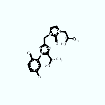 C[C@H](O)c1nc(Cn2ccn(C[C@H](O)C(F)(F)F)c2=O)nn1-c1cc(Cl)ccc1Cl